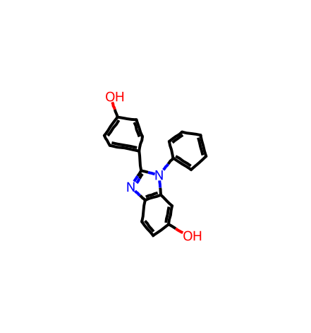 Oc1ccc(-c2nc3ccc(O)cc3n2-c2ccccc2)cc1